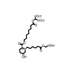 CCCCCCCCCCCOC(=O)CCCCCN1C[C@H](O)CC[C@H]1C(=O)OCCCCCCCC(=O)OC(CCCCCCCC)CCCCCCCC